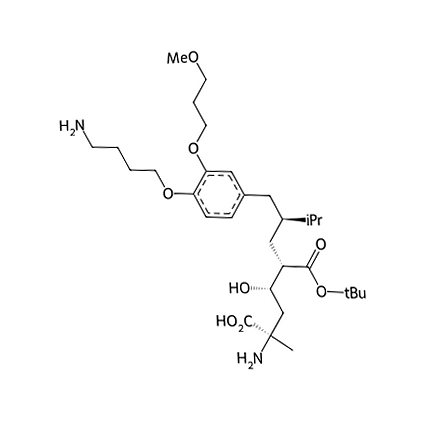 COCCCOc1cc(C[C@H](C[C@H](C(=O)OC(C)(C)C)[C@@H](O)C[C@@](C)(N)C(=O)O)C(C)C)ccc1OCCCCN